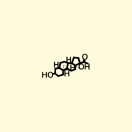 CC(=O)[C@@]1(O)CC[C@H]2[C@@H]3CC[C@@H]4CC(O)CC[C@]4(C)[C@H]3CC[C@@]21C